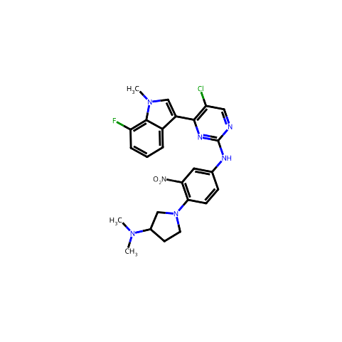 CN(C)C1CCN(c2ccc(Nc3ncc(Cl)c(-c4cn(C)c5c(F)cccc45)n3)cc2[N+](=O)[O-])C1